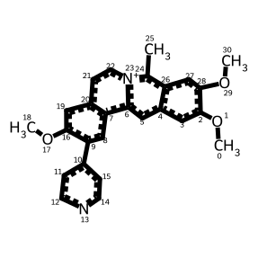 COc1cc2cc3c4cc(-c5ccncc5)c(OC)cc4cc[n+]3c(C)c2cc1OC